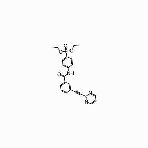 CCOP(=O)(OCC)c1ccc(NC(=O)c2cccc(C#Cc3ncccn3)c2)cc1